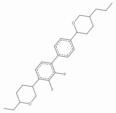 CCCC1CCC(c2ccc(-c3ccc(C4CCC(CC)OC4)c(F)c3F)cc2)OC1